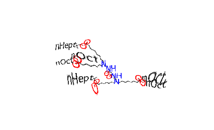 CCCCCCCCC(CCCCCCCC)OC(=O)CCCCCCCN(CCCCCCCC(=O)OCC(C)CCCCCCC)CCNC(=O)CC(=O)NCCN(CCCCCCCC(=O)OCC(C)CCCCCCC)CCCCCCCC(=O)OC(CCCCCCCC)CCCCCCCC